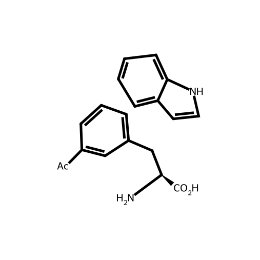 CC(=O)c1cccc(C[C@H](N)C(=O)O)c1.c1ccc2[nH]ccc2c1